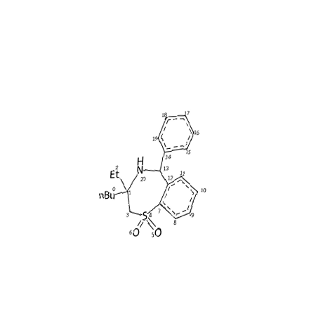 CCCCC1(CC)CS(=O)(=O)c2c[c]ccc2C(c2ccccc2)N1